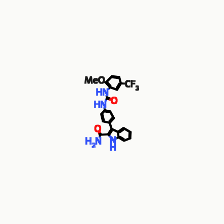 COc1ccc(C(F)(F)F)cc1NC(=O)Nc1ccc(-c2c(C(N)=O)[nH]c3ccccc23)cc1